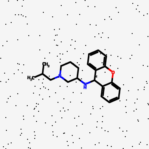 CC(C)CN1CCCC(NC2c3ccccc3Oc3ccccc32)C1